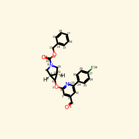 O=Cc1cc(OC2[C@H]3CN(C(=O)OCc4ccccc4)C[C@@H]23)nc(-c2ccc(F)cc2)c1